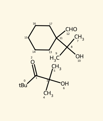 CC(C)(C)C(=O)C(C)(C)O.CC(C)(O)C1(C=O)CCCCC1